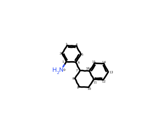 Nc1ccccc1C1CCCc2ccccc21